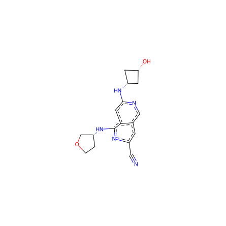 N#Cc1cc2cnc(N[C@H]3C[C@@H](O)C3)cc2c(N[C@@H]2CCOC2)n1